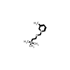 CC1=CC=CN(COCC[Si](C)(C)C)C1